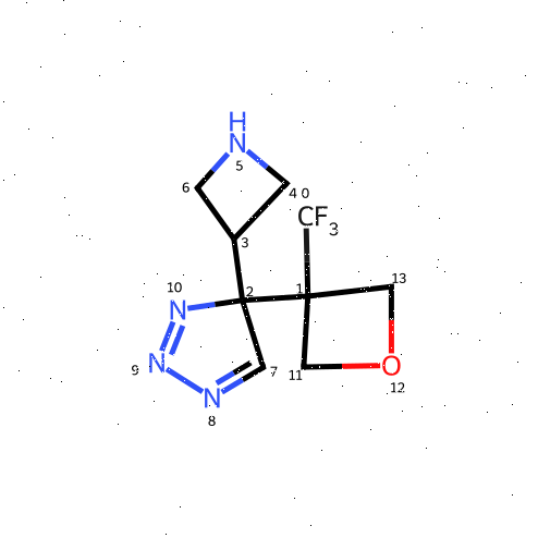 FC(F)(F)C1(C2(C3CNC3)C=NN=N2)COC1